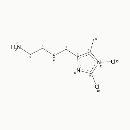 Cc1c(CSCCN)nc(Cl)n1Cl